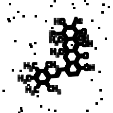 CC(=O)C1=C(O)C(C(C)C)[C@@]2(C)C[C@@]3(C)Cc4c(/C=C/c5c(C)c(C)c(C)c(C)c5C)ccc(O)c4C(=O)C3=C(O)[C@@]2(O)C1=O